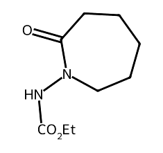 CCOC(=O)NN1CCCCCC1=O